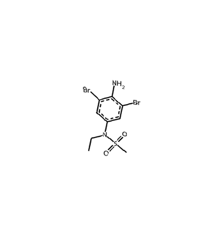 CCN(c1cc(Br)c(N)c(Br)c1)S(C)(=O)=O